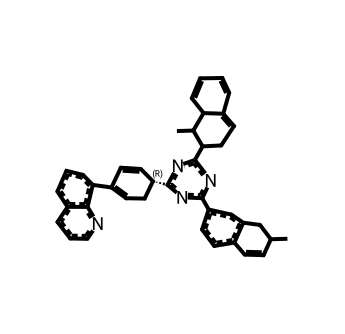 CC1C=Cc2ccc(-c3nc(C4CC=C5C=CC=CC5C4C)nc([C@H]4C=CC(c5cccc6cccnc56)=CC4)n3)cc2C1